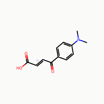 CN(C)c1ccc(C(=O)/C=C/C(=O)O)cc1